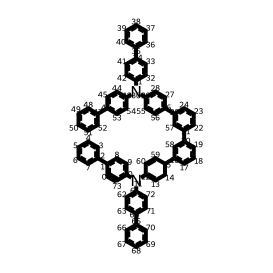 c1c(-c2ccccc2)ccc(N(C2=CCC(c3cccc(-c4cccc(-c5ccc(N(c6ccc(-c7ccccc7)cc6)c6ccc(-c7ccccc7)cc6)cc5)c4)c3)C=C2)c2ccc(-c3ccccc3)cc2)c#1